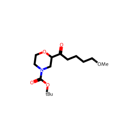 COCCCCC(=O)C1CN(C(=O)OC(C)(C)C)CCO1